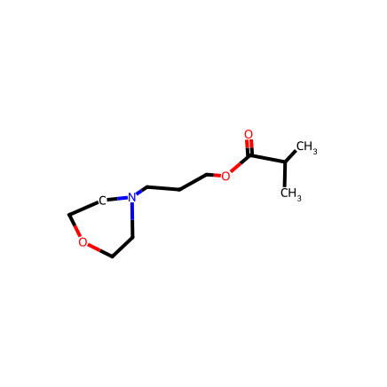 CC(C)C(=O)OCCCN1CCOCC1